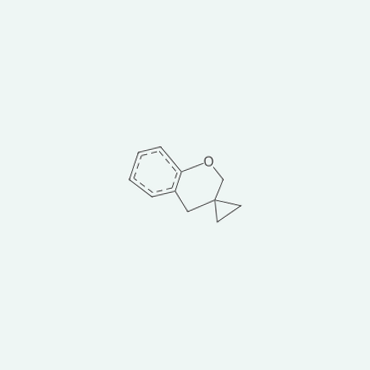 c1ccc2c(c1)CC1(CC1)CO2